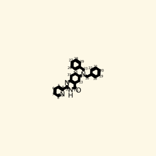 O=c1[nH]c(-c2ccccn2)nc2c1CC(N(Cc1ccccc1)Cc1ccccc1)CC2